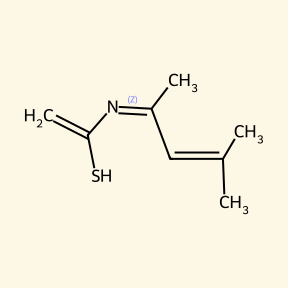 C=C(S)/N=C(/C)C=C(C)C